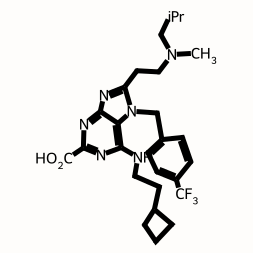 CC(C)CN(C)CCc1nc2nc(C(=O)O)nc(NCCC3CCC3)c2n1Cc1ccc(C(F)(F)F)cc1